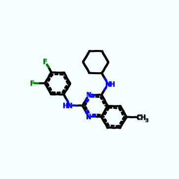 Cc1ccc2nc(Nc3ccc(F)c(F)c3)nc(NC3CCCCC3)c2c1